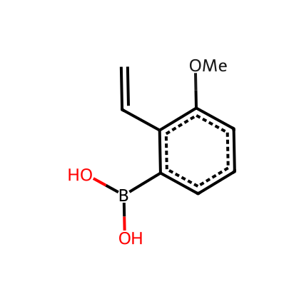 C=Cc1c(OC)cccc1B(O)O